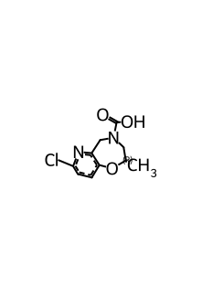 C[C@@H]1CN(C(=O)O)Cc2nc(Cl)ccc2O1